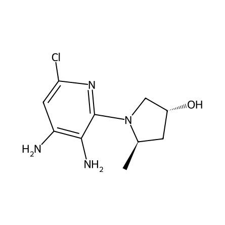 C[C@@H]1C[C@@H](O)CN1c1nc(Cl)cc(N)c1N